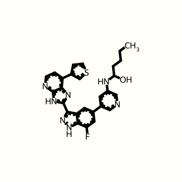 CCCCC(O)Nc1cncc(-c2cc(F)c3[nH]nc(-c4nc5c(-c6ccsc6)ccnc5[nH]4)c3c2)c1